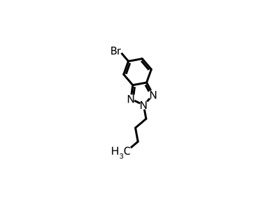 CCCCn1nc2ccc(Br)cc2n1